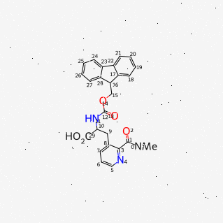 CNC(=O)c1ncccc1CC(NC(=O)OCC1c2ccccc2-c2ccccc21)C(=O)O